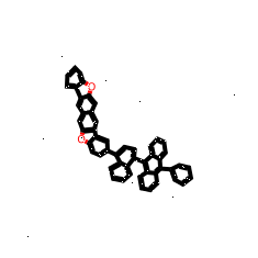 c1ccc(-c2c3ccccc3c(-c3ccc(-c4ccc5oc6cc7cc8c(cc7cc6c5c4)oc4ccccc48)c4ccccc34)c3ccccc23)cc1